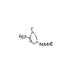 CNc1ccc(O)c(F)c1